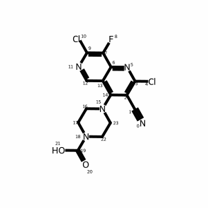 N#Cc1c(Cl)nc2c(F)c(Cl)ncc2c1N1CCN(C(=O)O)CC1